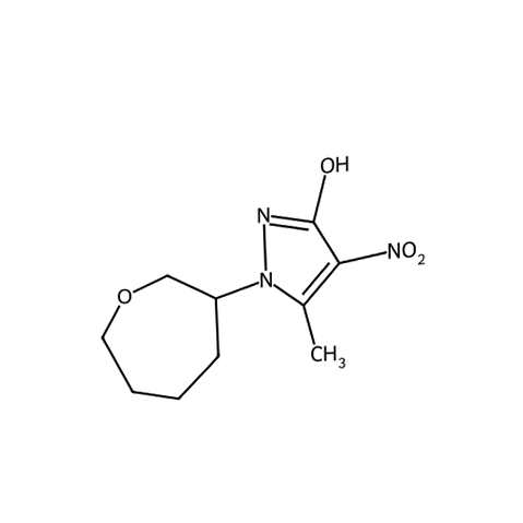 Cc1c([N+](=O)[O-])c(O)nn1C1CCCCOC1